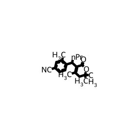 CCCC(C1=C(C)CC(C)(C)OC1=O)c1ccc(C#N)cc1C